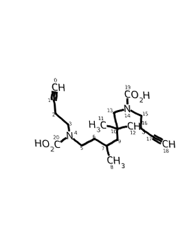 C#CCCN(CCC(C)CC(C)(C)CN(CCC#C)C(=O)O)C(=O)O